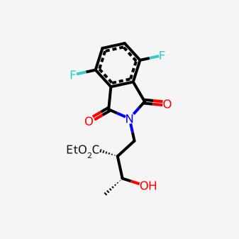 CCOC(=O)[C@H](CN1C(=O)c2c(F)ccc(F)c2C1=O)[C@@H](C)O